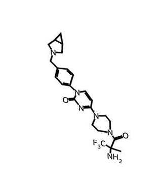 CC(N)(C(=O)N1CCN(c2ccn(-c3ccc(CN4CC5CC5C4)cc3)c(=O)n2)CC1)C(F)(F)F